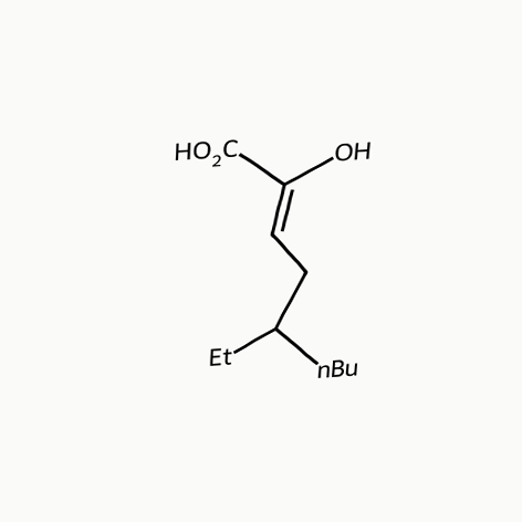 CCCCC(CC)C/C=C(\O)C(=O)O